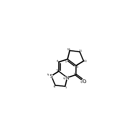 O=c1c2c(cc3n1CCS3)CCC2